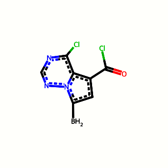 Bc1cc(C(=O)Cl)c2c(Cl)ncnn12